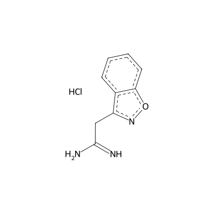 Cl.N=C(N)Cc1noc2ccccc12